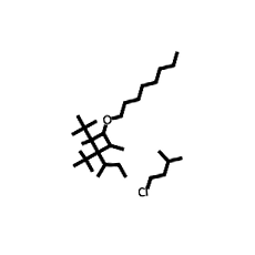 CC(C)CCCl.CCCCCCCCOC1C(C)C(C(C)CC)(C(C)(C)C)C1(C)C(C)(C)C